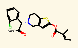 C/C=C(\C)C(=O)Oc1cc2c(s1)CCN([C@H](C(=O)OC)c1ccccc1Cl)C2